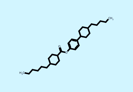 CCCCCCC1CCC(C(=O)Oc2ccc(C3CCC(CCCCC)CC3)cc2)CC1